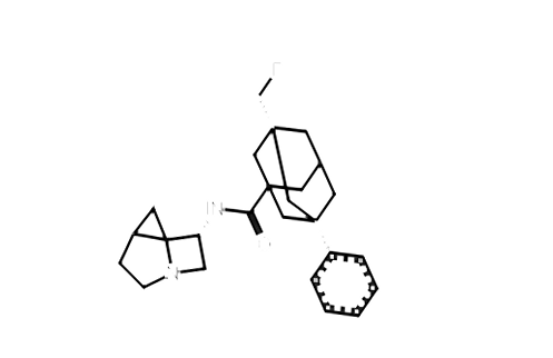 O=C(N[C@@H]1CN2CCC3CC312)C12CC3C[C@](CF)(C1)C[C@@](c1ccccc1)(C3)C2